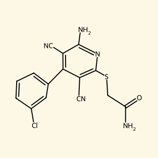 N#Cc1c(N)nc(SCC(N)=O)c(C#N)c1-c1cccc(Cl)c1